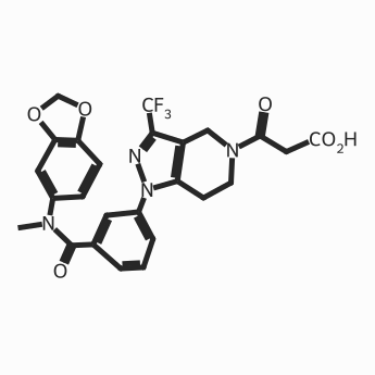 CN(C(=O)c1cccc(-n2nc(C(F)(F)F)c3c2CCN(C(=O)CC(=O)O)C3)c1)c1ccc2c(c1)OCO2